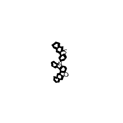 c1ccc2cc3c(cc2c1)oc1ccc2c(c4ccccc4n2-c2ccc4sc5cc6ccccc6cc5c4c2)c13